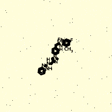 CCc1cc(F)cc(C)c1NC(Cc1ccc(-n2cnc(CNc3nc4ccccc4[nH]3)c2)cc1)C(=O)O